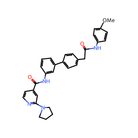 COc1ccc(NC(=O)Cc2ccc(-c3cccc(NC(=O)c4ccnc(N5CCCC5)c4)c3)cc2)cc1